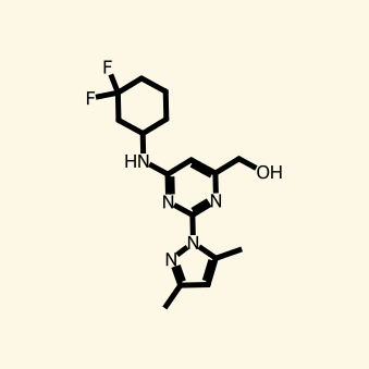 Cc1cc(C)n(-c2nc(CO)cc(NC3CCCC(F)(F)C3)n2)n1